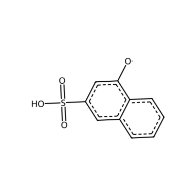 [O]c1cc(S(=O)(=O)O)cc2ccccc12